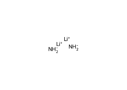 [Li+].[Li+].[NH2-].[NH2-]